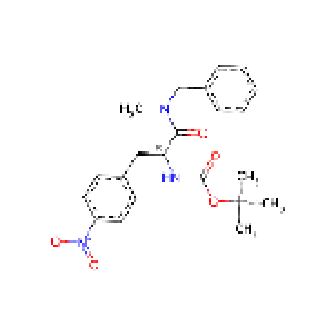 CN(Cc1ccccc1)C(=O)[C@H](Cc1ccc([N+](=O)[O-])cc1)NC(=O)OC(C)(C)C